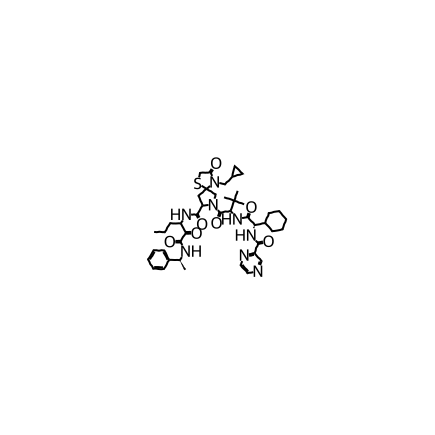 CCCC(NC(=O)C1CC2(CN1C(=O)C(NC(=O)[C@@H](NC(=O)c1cnccn1)C1CCCCC1)C(C)(C)C)SCC(=O)N2CC1CC1)C(=O)C(=O)N[C@@H](C)c1ccccc1